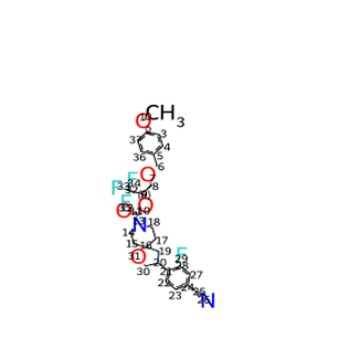 COc1ccc(COC[C@@H](OC(=O)N2CCC3(CC2)CC(c2ccc(C#N)cc2F)CO3)C(F)(F)F)cc1